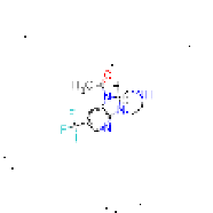 CC(=O)N1c2cc(C(F)(F)F)cnc2N2CCNC[C@@H]21